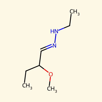 CCNN=CC(CC)OC